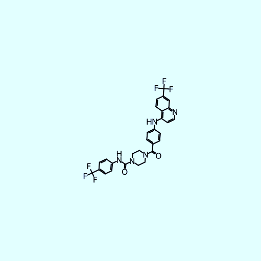 O=C(Nc1ccc(C(F)(F)F)cc1)N1CCN(C(=O)c2ccc(Nc3ccnc4cc(C(F)(F)F)ccc34)cc2)CC1